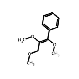 COCC(OC)=C(OC)c1ccccc1